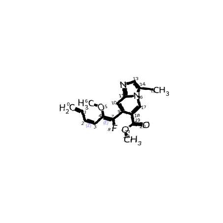 C=C/C=C\C(OC)=C(/F)c1cc2ncc(C)n2cc1C(=O)OC